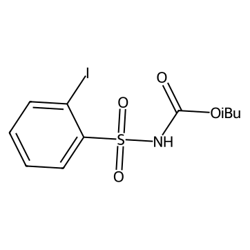 CC(C)COC(=O)NS(=O)(=O)c1ccccc1I